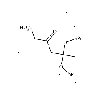 CC(C)OC(C)(CC(=O)CC(=O)O)OC(C)C